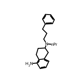 CCCN(CCCc1ccccc1)C1CCc2c(N)cccc2C1